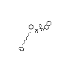 O=C(Oc1ccc2ccccc2c1)[C@@H]1O[C@@H]1c1ccccc1CCCCCCCCc1ccco1